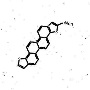 CCCCCCCCCc1cc2ccc3c4ccc5c(ccc6ccsc65)c4ccc3c2s1